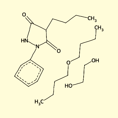 CCCCC1C(=O)NN(c2ccccc2)C1=O.CCCCOCCCC.OCCO